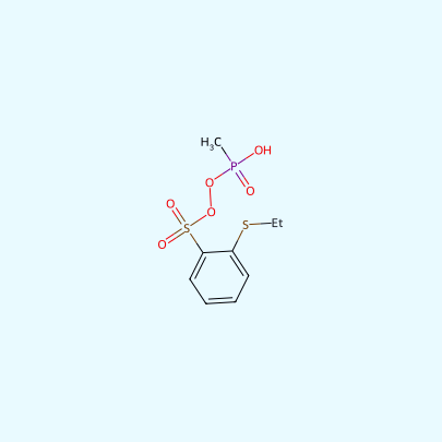 CCSc1ccccc1S(=O)(=O)OOP(C)(=O)O